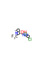 Cc1cccc2c(C(O)CNCc3cc(Cl)ccc3Cl)cc(C(F)(F)F)nc12